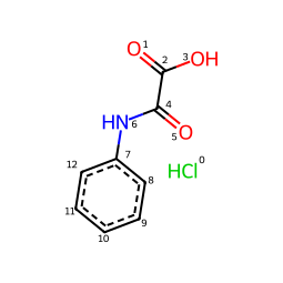 Cl.O=C(O)C(=O)Nc1ccccc1